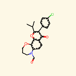 CC(C)c1oc2c3c(ccc2c(=O)c1-c1ccc(Cl)cc1)N(C=O)CCCO3